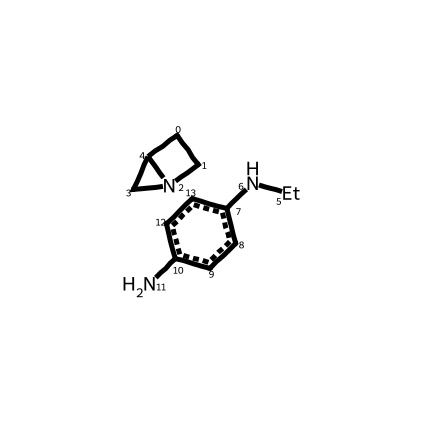 C1CN2CC12.CCNc1ccc(N)cc1